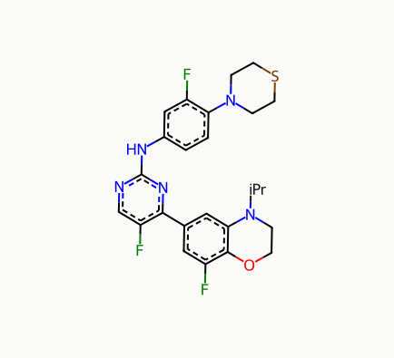 CC(C)N1CCOc2c(F)cc(-c3nc(Nc4ccc(N5CCSCC5)c(F)c4)ncc3F)cc21